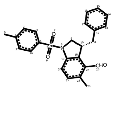 Cc1ccc(S(=O)(=O)N2C[C@H](Cc3ccccc3)c3c2ccc(C)c3C=O)cc1